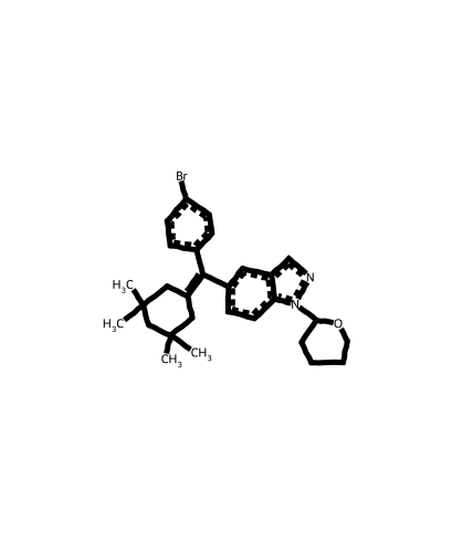 CC1(C)CC(=C(c2ccc(Br)cc2)c2ccc3c(cnn3C3CCCCO3)c2)CC(C)(C)C1